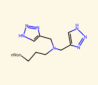 CCCCCCCCCCCCN(Cc1c[nH]nn1)Cc1c[nH]nn1